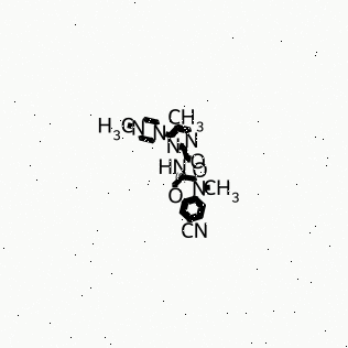 Cc1cnc(C(=O)N[C@H]2COc3cc(C#N)ccc3N(C)C2=O)nc1N1CCN(C)CC1